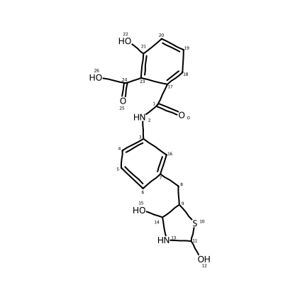 O=C(Nc1cccc(CC2SC(O)NC2O)c1)c1cccc(O)c1C(=O)O